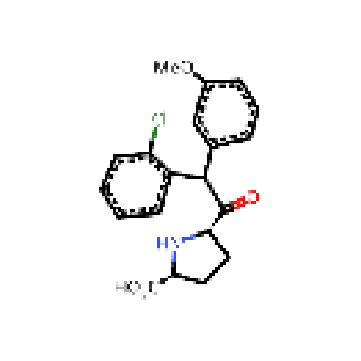 COc1cccc(C(C(=O)[C@H]2CC[C@@H](C(=O)O)N2)c2ccccc2Cl)c1